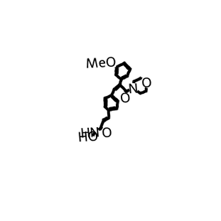 COc1cccc(C(=Cc2ccc(/C=C/C(=O)NO)cc2)C(=O)N2CCOCC2)c1